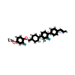 C/C=C/c1ccc(-c2ccc(C3CCC(COc4ccc(OCC)cc4F)CC3)c(F)c2F)cc1